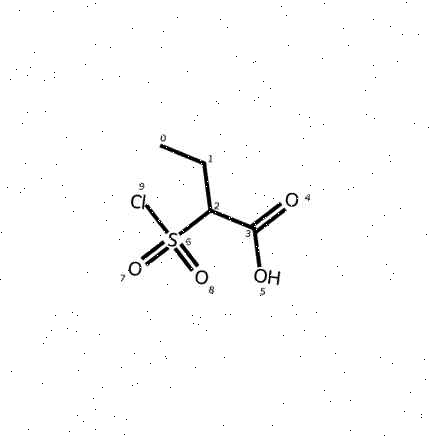 CCC(C(=O)O)S(=O)(=O)Cl